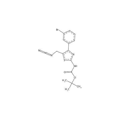 CC(C)(C)OC(=O)Nc1nc(-c2cccc(Br)c2)c(CN=[N+]=[N-])s1